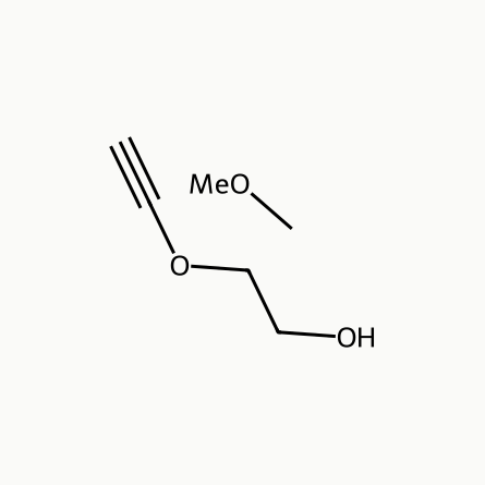 C#COCCO.COC